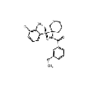 COc1cccc(C(=O)N[C@]2(S(=O)(=O)c3cccc(Cl)c3C)CCCNC2)c1